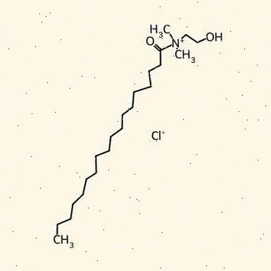 CCCCCCCCCCCCCCCCCC(=O)[N+](C)(C)CCO.[Cl-]